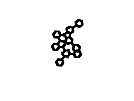 c1ccc(-c2ccc3c(c2)c2cc(-c4ccccc4)ccc2n3-c2ccccc2-c2ccc(-c3nc(-c4ccccc4)nc(-c4ccccc4)n3)c3ccccc23)cc1